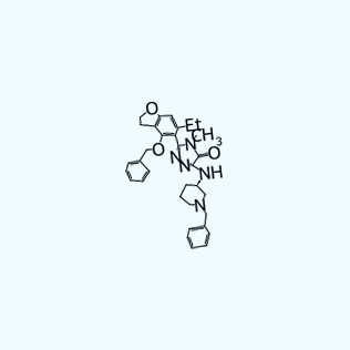 CCc1cc2c(c(OCc3ccccc3)c1-c1nnc(N[C@@H]3CCCN(Cc4ccccc4)C3)c(=O)n1C)CCO2